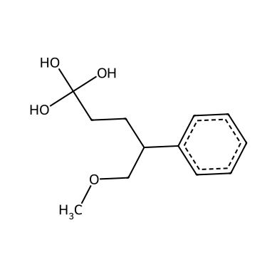 COCC(CCC(O)(O)O)c1ccccc1